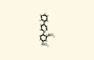 O=[N+]([O-])c1ccc(-[n+]2ccc(-c3ccccc3)cc2)c([N+](=O)[O-])c1